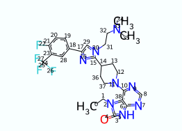 CCn1c(=O)[nH]c2ncnc(N3CCC(c4nc(-c5ccc(F)c(C(F)(F)F)c5)cn4CCN(C)C)CC3)c21